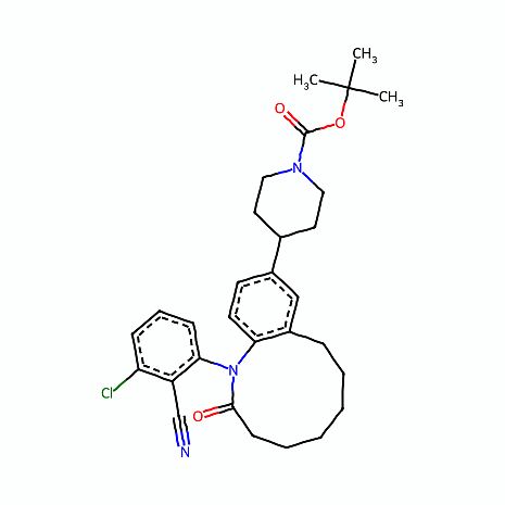 CC(C)(C)OC(=O)N1CCC(c2ccc3c(c2)CCCCCCC(=O)N3c2cccc(Cl)c2C#N)CC1